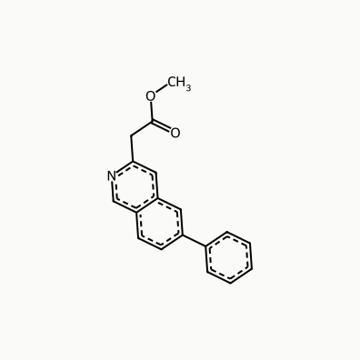 COC(=O)Cc1cc2cc(-c3ccccc3)ccc2cn1